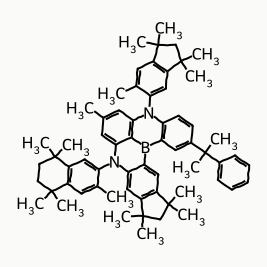 Cc1cc2c3c(c1)N(c1cc4c(cc1C)C(C)(C)CCC4(C)C)c1cc4c(cc1B3c1cc(C(C)(C)c3ccccc3)ccc1N2c1cc2c(cc1C)C(C)(C)CC2(C)C)C(C)(C)CC4(C)C